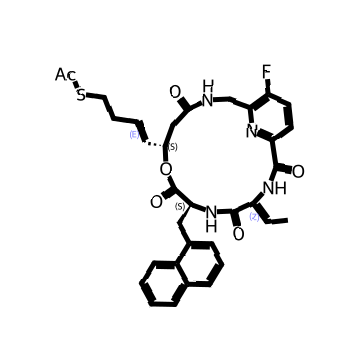 C/C=C1\NC(=O)c2ccc(F)c(n2)CNC(=O)C[C@@H](/C=C/CCSC(C)=O)OC(=O)[C@H](Cc2cccc3ccccc23)NC1=O